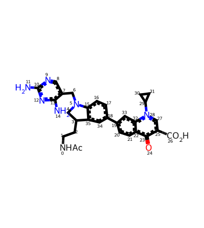 CC(=O)NCCC1CN(Cc2cnc(N)nc2N)c2ccc(-c3ccc4c(=O)c(C(=O)O)cn(C5CC5)c4c3)cc21